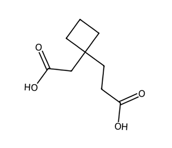 O=C(O)CCC1(CC(=O)O)CCC1